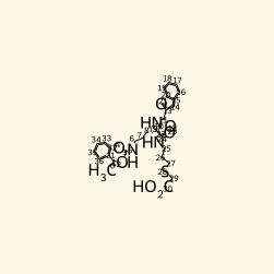 CC(OC(=O)NCCC[C@H](NC(=O)c1cc2ccccc2o1)C(=O)NCCCSCC(=O)O)c1ccccc1